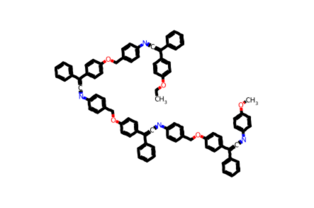 CCOc1ccc(C(=C=Nc2ccc(COc3ccc(C(=C=Nc4ccc(COc5ccc(C(=C=Nc6ccc(COc7ccc(C(=C=Nc8ccc(OC)cc8)c8ccccc8)cc7)cc6)c6ccccc6)cc5)cc4)c4ccccc4)cc3)cc2)c2ccccc2)cc1